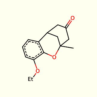 CCOc1cccc2c1OC1(C)CC(=O)CC2C1